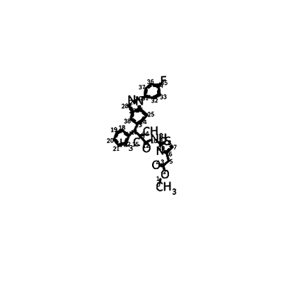 CCOC(=O)Cc1csc(NC(=O)C(C)(C)C(c2ccccc2)c2ccc3c(cnn3-c3ccc(F)cc3)c2)n1